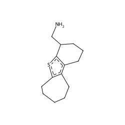 NCC1CCCc2c1sc1c2CCCCC1